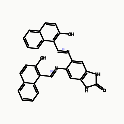 O=c1[nH]c2cc(/N=C/c3c(O)ccc4ccccc34)c(/N=C/c3c(O)ccc4ccccc34)cc2[nH]1